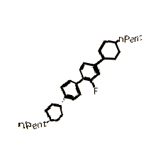 CCCCCC1CCC(c2ccc(-c3ccc([C@H]4CC[C@H](CCCCC)CC4)cc3)c(F)c2)CC1